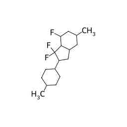 CC1CCC(C2CC3CC(C)CC(F)C3C2(F)F)CC1